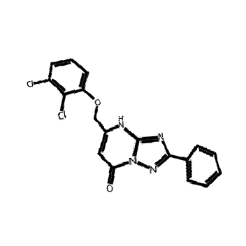 O=c1cc(COc2cccc(Cl)c2Cl)[nH]c2nc(-c3ccccc3)nn12